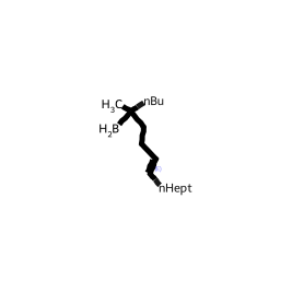 BC(C)(CC/C=C/CCCCCCC)CCCC